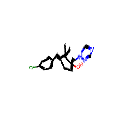 CC1(C)C(=Cc2ccc(Cl)cc2)CCC1(O)Cn1cncn1